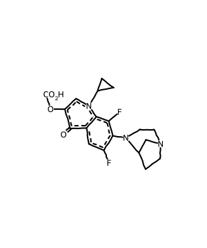 O=C(O)Oc1cn(C2CC2)c2c(F)c(N3CCN4CCC3C4)c(F)cc2c1=O